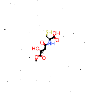 COC(=O)[C@H](O)CC(=O)N[C@@H](CS)C(=O)O